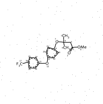 COC(=O)CC(C)(C)Oc1ccc(Oc2ccc(C(F)(F)F)cc2)cc1